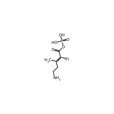 CCC(C(=O)OP(=O)(O)O)=C(C)CCN